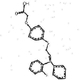 O=C(O)COc1ccc(SC/C=C(/c2ccccc2)c2ccccc2F)cc1